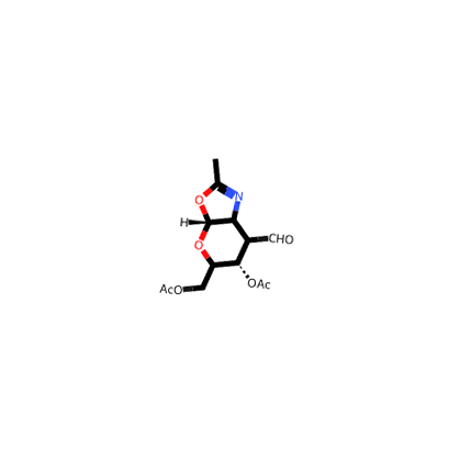 CC(=O)OCC1O[C@@H]2OC(C)=NC2C(C=O)[C@@H]1OC(C)=O